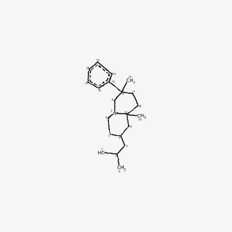 CC(O)CC1CCN2CC(C)(c3ccccc3)CCC2(C)C1